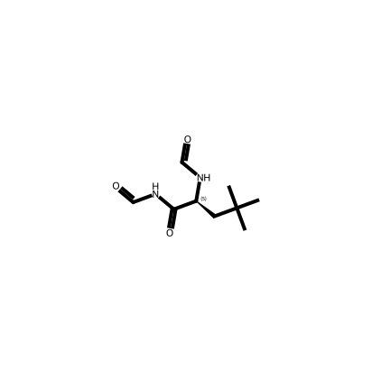 CC(C)(C)C[C@H](NC=O)C(=O)NC=O